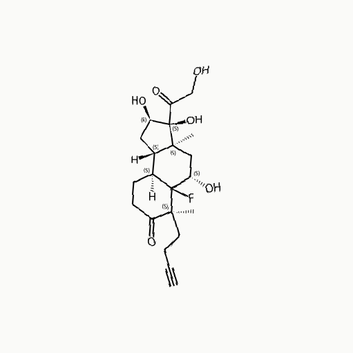 C#CCC[C@@]1(C)C(=O)CC[C@H]2[C@@H]3C[C@@H](O)[C@](O)(C(=O)CO)[C@@]3(C)C[C@H](O)C21F